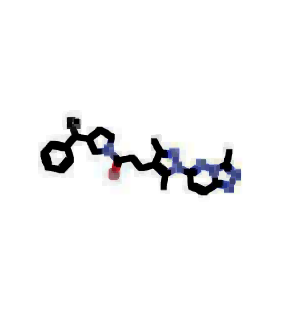 CCC(c1ccccc1)C1CCN(C(=O)CCc2c(C)nn(-c3ccc4nnc(C)n4n3)c2C)C1